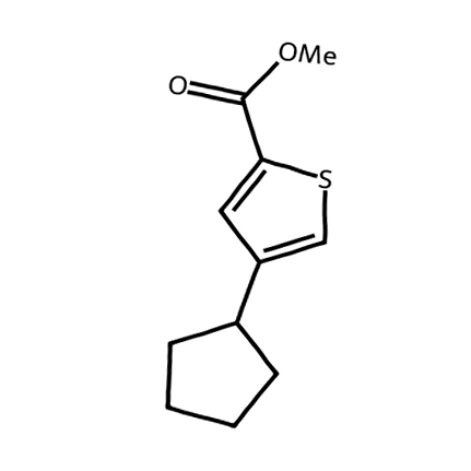 COC(=O)c1cc(C2CCCC2)cs1